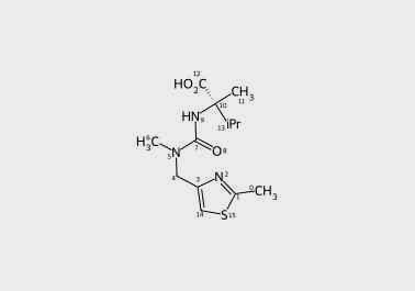 Cc1nc(CN(C)C(=O)N[C@](C)(C(=O)O)C(C)C)cs1